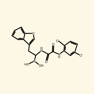 O=C(Nc1cc(Cl)ccc1Cl)C(=O)NC(Cc1coc2ccccc12)B(O)O